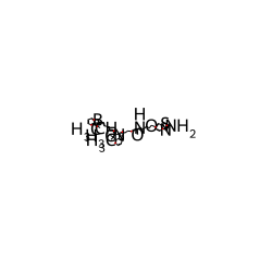 CC1(C)C(/C=C/C=C/C=C2/N(CCCCCC(=O)NCCCOc3ccc4nc(N)sc4c3)c3ccccc3C2(C)C)=Bc2ccccc21